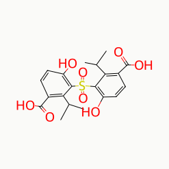 CC(C)c1c(C(=O)O)ccc(O)c1S(=O)(=O)c1c(O)ccc(C(=O)O)c1C(C)C